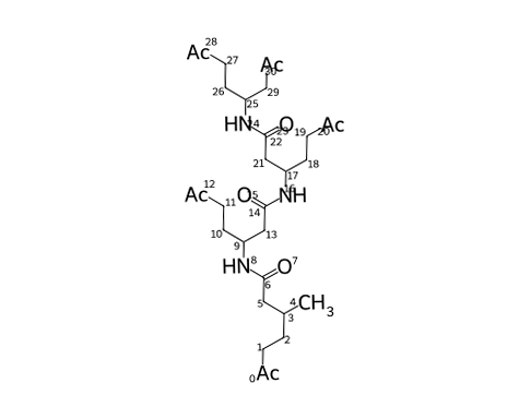 CC(=O)CCC(C)CC(=O)NC(CCC(C)=O)CC(=O)NC(CCC(C)=O)CC(=O)NC(CCC(C)=O)CC(C)=O